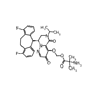 CC(C)N1C[C@H](C2c3cccc(F)c3CCc3c(F)cccc32)n2ncc(=O)c(OCOC(=O)C(C)(C)N)c2C1=O